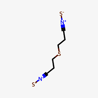 [S-][N+]#CCCSCCC#[N+][S-]